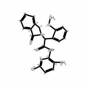 COc1ccccc1C(C(=O)Nc1nc(Cl)ccc1N)N1Cc2ccccc2C1=O